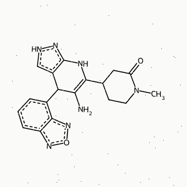 CN1CCC(C2=C(N)C(c3cccc4nonc34)c3c[nH]nc3N2)CC1=O